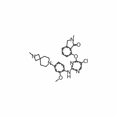 COc1cc(N2CCC3(CC2)CN(C)C3)ccc1Nc1ncc(Cl)c(Oc2cccc3c2C(=O)N(C)C3)n1